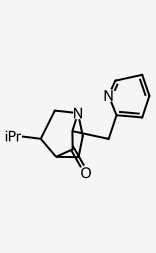 CC(C)C1CN2CCC1C(=O)C2Cc1ccccn1